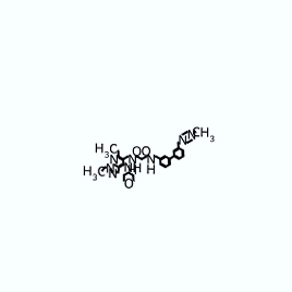 CCc1nc2c(cnn2CC)c(NC2CCOCC2)c1CNC(=O)CC(=O)NCc1cccc(-c2cccc(CN3CCN(C)CC3)c2)c1